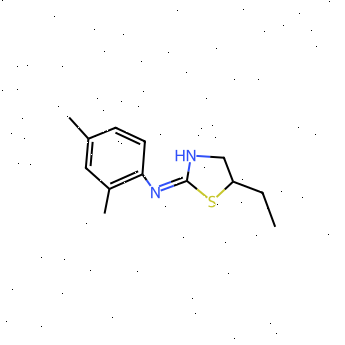 CCC1CNC(=Nc2ccc(C)cc2C)S1